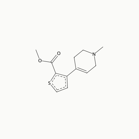 COC(=O)c1sccc1C1=CCN(C)CC1